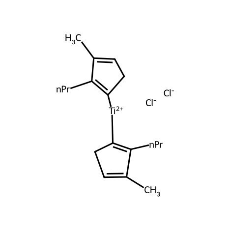 CCCC1=[C]([Ti+2][C]2=C(CCC)C(C)=CC2)CC=C1C.[Cl-].[Cl-]